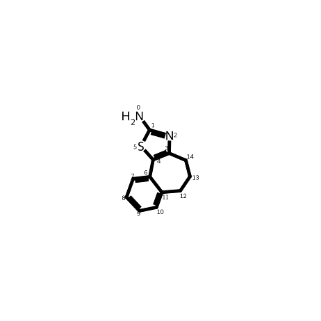 Nc1nc2c(s1)-c1ccccc1CCC2